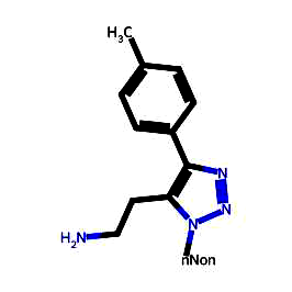 CCCCCCCCCn1nnc(-c2ccc(C)cc2)c1CCN